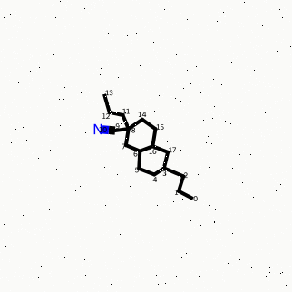 CCCC1CCC2CC(C#N)(CCC)CCC2C1